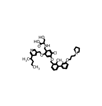 CCCC(C)c1cncc(COc2cc(OCc3cccc(-c4cccc(OCCCN5CCCC5)c4)c3C)c(Cl)cc2CNC(CO)C(=O)O)c1